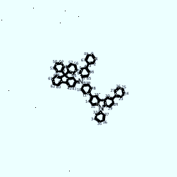 c1ccc(-c2ccc(N(c3ccc(-c4ccc5c(c4)c4cc(-c6ccccc6)ccc4n5-c4ccccc4)cc3)c3ccc4c(c3)C(c3ccccc3)(c3ccccc3)c3ccccc3-4)cc2)cc1